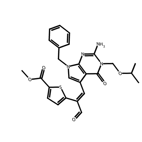 COC(=O)c1ccc(C(C=O)=Cc2cn(Cc3ccccc3)c3nc(N)n(COC(C)C)c(=O)c23)s1